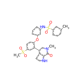 Cc1cccc(S(=O)(=O)Nc2cccc(Oc3ccc(S(C)(=O)=O)cc3-c3cn(C)c(=O)c4[nH]ccc34)c2)c1